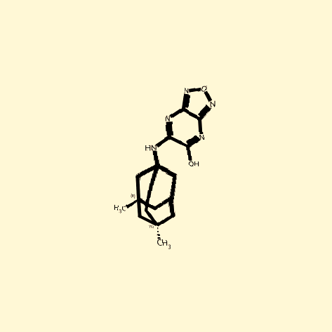 C[C@]12CC3CC(Nc4nc5nonc5nc4O)(C1)C[C@@](C)(C3)C2